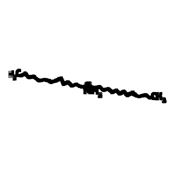 CCCCCCCCCCCCCCSCCCCCCCCCCCCCC.N